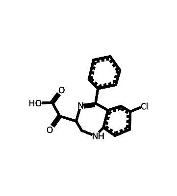 O=C(O)C(=O)C1CNc2ccc(Cl)cc2C(c2ccccc2)=N1